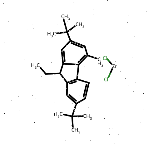 CCC1c2cc(C(C)(C)C)ccc2-c2c(C)cc(C(C)(C)C)cc21.[Cl][Zr][Cl]